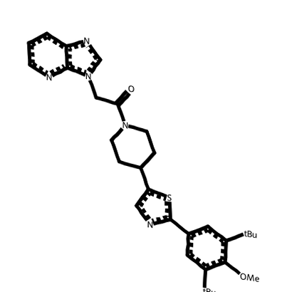 COc1c(C(C)(C)C)cc(-c2ncc(C3CCN(C(=O)Cn4cnc5cccnc54)CC3)s2)cc1C(C)(C)C